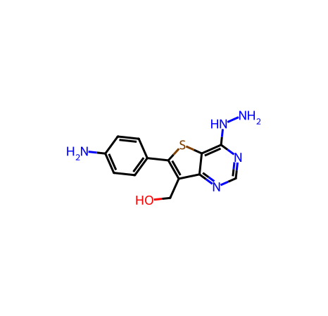 NNc1ncnc2c(CO)c(-c3ccc(N)cc3)sc12